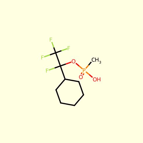 CP(=O)(O)OC(F)(C1CCCCC1)C(F)(F)F